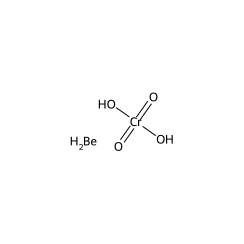 [BeH2].[O]=[Cr](=[O])([OH])[OH]